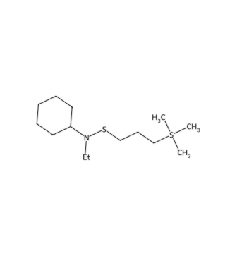 CCN(SCCCS(C)(C)C)C1CCCCC1